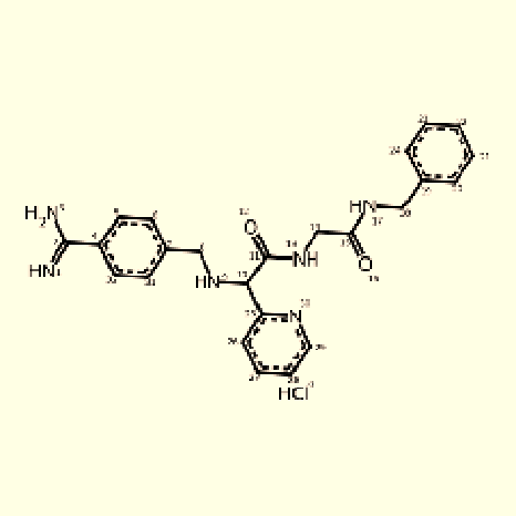 Cl.N=C(N)c1ccc(CNC(C(=O)NCC(=O)NCc2ccccc2)c2ccccn2)cc1